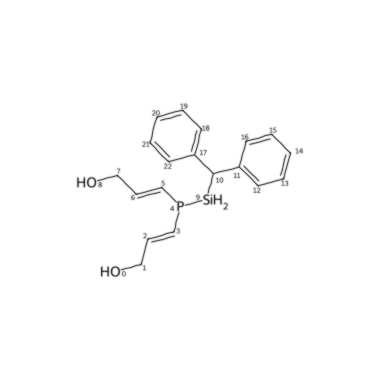 OCC=CP(C=CCO)[SiH2]C(c1ccccc1)c1ccccc1